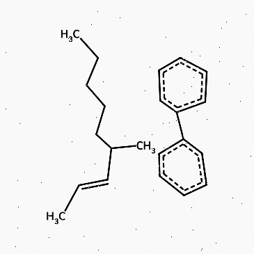 CC=CC(C)CCCCC.c1ccc(-c2ccccc2)cc1